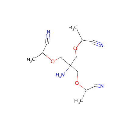 CC(C#N)OCC(N)(COC(C)C#N)COC(C)C#N